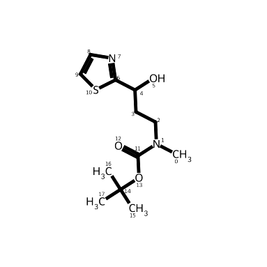 CN(CCC(O)c1nccs1)C(=O)OC(C)(C)C